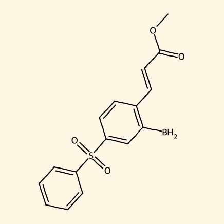 Bc1cc(S(=O)(=O)c2ccccc2)ccc1/C=C/C(=O)OC